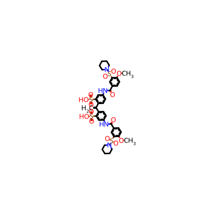 C=C(c1ccc(NC(=O)c2ccc(OC)c(S(=O)(=O)N3CCCCC3)c2)cc1S(=O)(=O)O)c1ccc(NC(=O)c2ccc(OC)c(S(=O)(=O)N3CCCCC3)c2)cc1S(=O)(=O)O